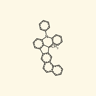 CC12c3cc4c(ccc5ccccc54)cc3-c3cccc(c31)N(c1ccccc1)c1ccccc12